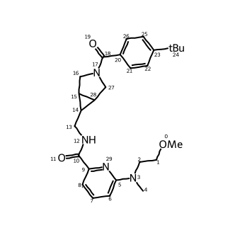 COCCN(C)c1cc[c]c(C(=O)NCC2C3CN(C(=O)c4ccc(C(C)(C)C)cc4)CC23)n1